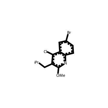 COc1nc2ccc(Br)cc2c(Cl)c1CC(C)C